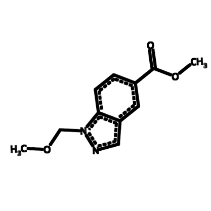 COCn1ncc2cc(C(=O)OC)ccc21